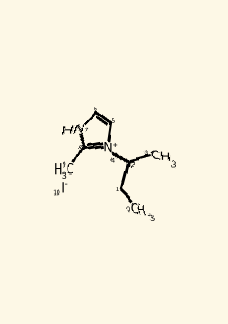 CCC(C)[n+]1cc[nH]c1C.[I-]